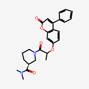 CC(Oc1ccc2c(-c3ccccc3)cc(=O)oc2c1)C(=O)N1CCC[C@H](C(=O)N(C)C)C1